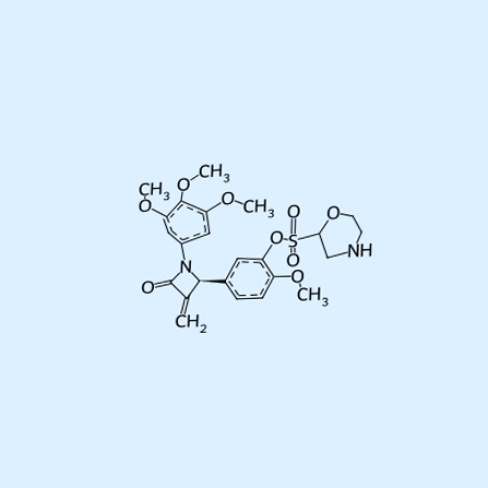 C=C1C(=O)N(c2cc(OC)c(OC)c(OC)c2)[C@H]1c1ccc(OC)c(OS(=O)(=O)C2CNCCO2)c1